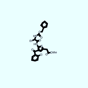 CCC(NC(=O)OCc1ccccc1)C(=O)Nc1sc(CC(=O)OC)cc1C(=O)c1ccccc1Cl